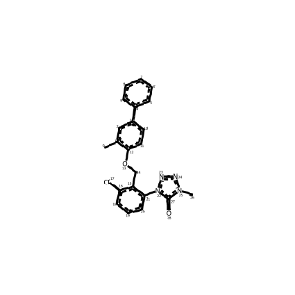 Cc1cc(-c2ccccc2)ccc1OCc1c(Cl)cccc1-n1nnn(C)c1=O